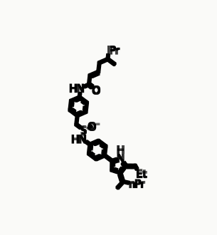 CC/C=c1/[nH]c(-c2ccc(N[S+]([O-])Cc3ccc(NC(=O)/C=C/CC(C)C(C)C)cc3)cc2)c/c1=C(\C)CCC